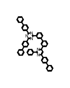 c1ccc(-c2ccc(-c3cc(-c4cccc(-c5cccc(-c6nc(-c7ccc(-c8ccccc8)cc7)nc(-c7ccc(-c8ccccc8)cc7)n6)c5)c4)nc(-c4ccccc4)n3)cc2)cc1